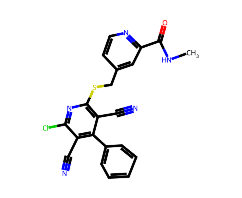 CNC(=O)c1cc(CSc2nc(Cl)c(C#N)c(-c3ccccc3)c2C#N)ccn1